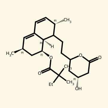 CCC(C)(C)C(=O)O[C@H]1C[C@@H](C)C=C2C=C[C@H](C)C(CCC3C[C@@H](O)CC(=O)O3)[C@H]21